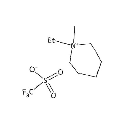 CC[N+]1(C)CCCCC1.O=S(=O)([O-])C(F)(F)F